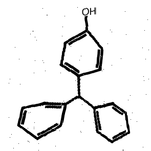 Oc1ccc([C](c2ccccc2)c2ccccc2)cc1